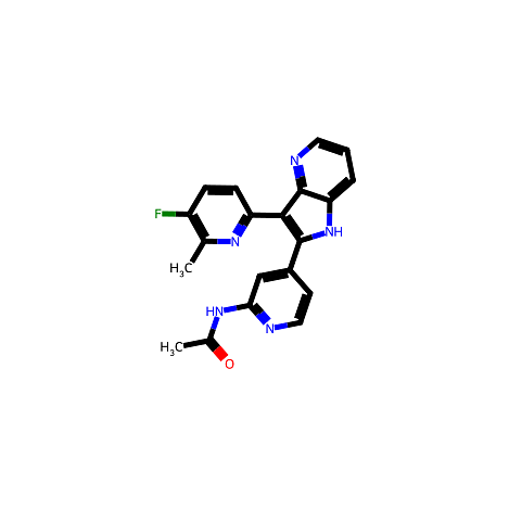 CC(=O)Nc1cc(-c2[nH]c3cccnc3c2-c2ccc(F)c(C)n2)ccn1